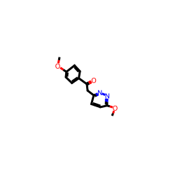 COc1ccc(C(=O)Cc2ccc(OC)nn2)cc1